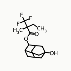 CCC(C)(C(=O)OC1C2CC3CC1CC(O)(C3)C2)C(F)(F)F